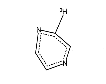 [2H]c1cnccn1